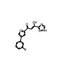 O=C(C=C(O)c1nc[nH]n1)c1cc(-c2cccc(F)c2)co1